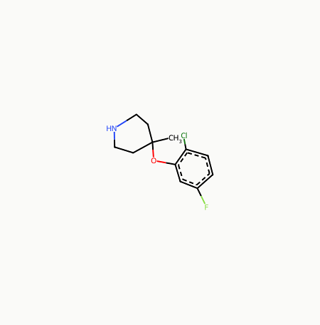 CC1(Oc2cc(F)ccc2Cl)CCNCC1